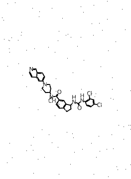 CN(C(=O)c1ccc2c(c1)C(NC(=O)Nc1ccc(Cl)cc1Cl)CC2)C1CCN(c2ccc3cnccc3c2)CC1